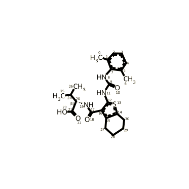 Cc1cccc(C)c1NC(=O)Nc1sc2c(c1C(=O)N[C@H](C(=O)O)C(C)C)CCCC2